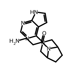 NCCC(=O)N1C2CCC1CN(c1ncnc3[nH]ccc13)C2